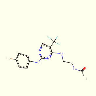 CC(=O)NCCNc1nc(Nc2ccc(Br)cc2)ncc1C(F)(F)F